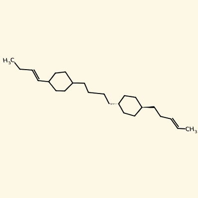 CC=CCC[C@H]1CC[C@H](CCCCC2CCC(C=CCC)CC2)CC1